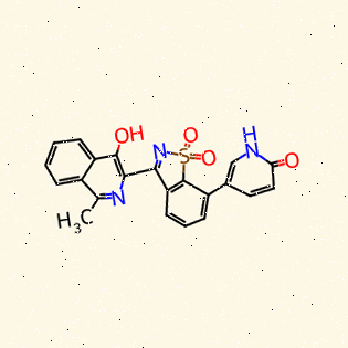 Cc1nc(C2=NS(=O)(=O)c3c2cccc3-c2ccc(=O)[nH]c2)c(O)c2ccccc12